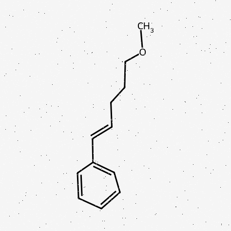 CO[CH]CCC=Cc1ccccc1